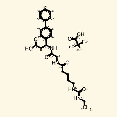 CCNC(=O)NCCCCC(=O)NCC(=O)NC(CC(=O)O)c1ccc(-c2ccccc2)cc1.O=C(O)C(F)(F)F